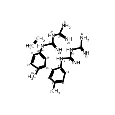 C=C.Cc1ccc(NC(=N)NC(=N)N)cc1.Cc1ccc(NC(=N)NC(=N)N)cc1